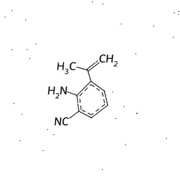 C=C(C)c1cccc(C#N)c1N